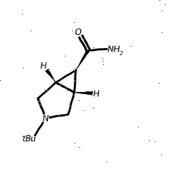 CC(C)(C)N1C[C@@H]2[C@H](C1)[C@H]2C(N)=O